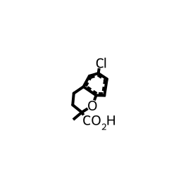 CC1(C(=O)O)CCc2cc(Cl)ccc2O1